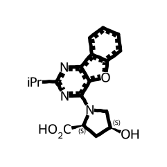 CC(C)c1nc(N2C[C@@H](O)C[C@H]2C(=O)O)c2oc3ccccc3c2n1